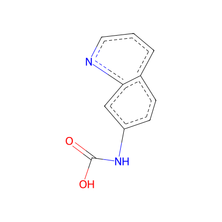 O=C(O)Nc1ccc2cccnc2c1